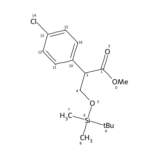 COC(=O)C(CO[Si](C)(C)C(C)(C)C)c1ccc(Cl)cc1